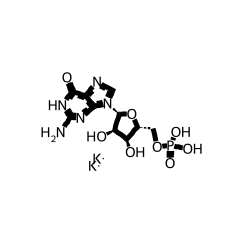 Nc1nc2c(ncn2[C@@H]2O[C@H](COP(=O)(O)O)[C@@H](O)[C@H]2O)c(=O)[nH]1.[K].[K]